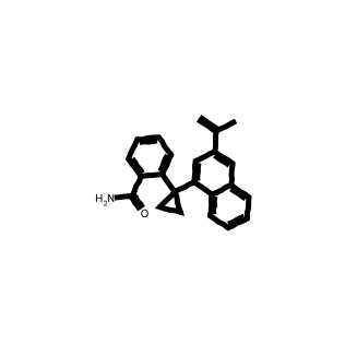 C=C(C)c1cc(C2(c3ccccc3C(N)=O)CC2)c2ccccc2c1